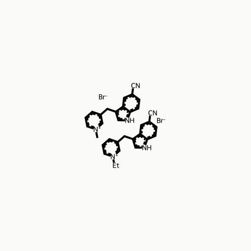 CC[n+]1cccc(Cc2c[nH]c3ccc(C#N)cc23)c1.C[n+]1cccc(Cc2c[nH]c3ccc(C#N)cc23)c1.[Br-].[Br-]